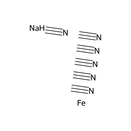 C#N.C#N.C#N.C#N.C#N.C#N.[Fe].[NaH]